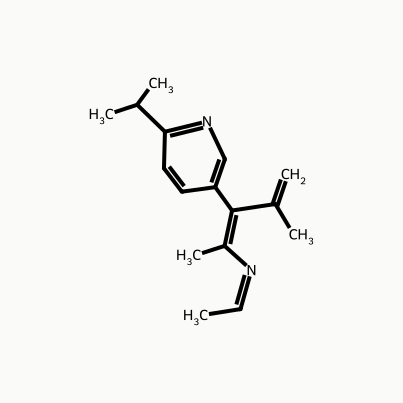 C=C(C)/C(=C(C)\N=C/C)c1ccc(C(C)C)nc1